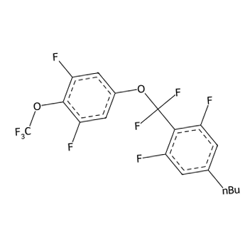 CCCCc1cc(F)c(C(F)(F)Oc2cc(F)c(OC(F)(F)F)c(F)c2)c(F)c1